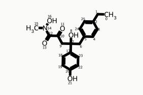 CCc1ccc(CC(O)(CC(=O)C(=O)N(C)O)c2ccc(O)cc2)cc1